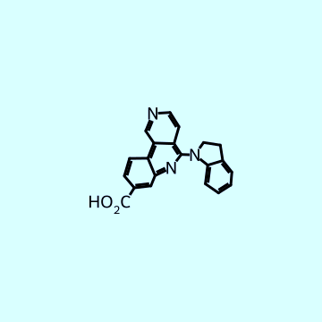 O=C(O)c1ccc2c(c1)nc(N1CCc3ccccc31)c1ccncc12